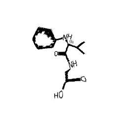 CC(C)[C@H](Nc1ccccc1)C(=O)NCC(=O)O